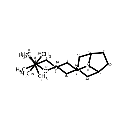 CC(C)(C)COCCN1C2CCC1CN(CCOC(C)(C)C)C2